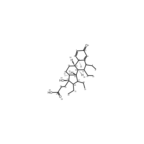 CCC1C2=CC(=O)C=C[C@]2(C)[C@H]2CC[C@@]3(C)[C@@H](C(CC)C(CC)[C@]3(O)CCC(=O)O)[C@@H]2C1CC